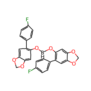 Fc1ccc(-c2cc3c(cc2OBOc2cc4c(cc2-c2ccc(F)cc2)OCO4)OCO3)cc1